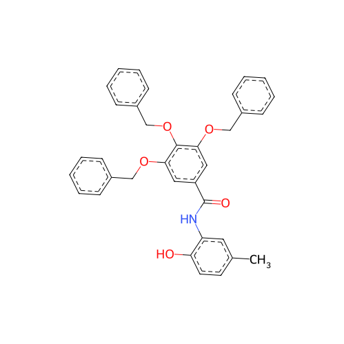 Cc1ccc(O)c(NC(=O)c2cc(OCc3ccccc3)c(OCc3ccccc3)c(OCc3ccccc3)c2)c1